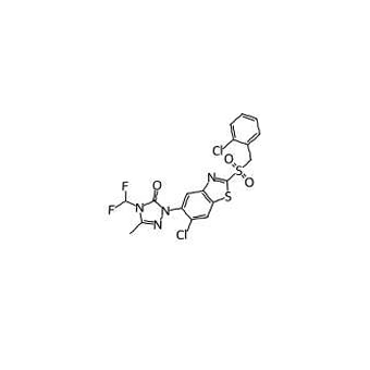 Cc1nn(-c2cc3nc(S(=O)(=O)Cc4ccccc4Cl)sc3cc2Cl)c(=O)n1C(F)F